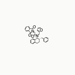 O=C1c2ccccc2C(=O)N1CC(=O)N(Cc1ccco1)[C@@H]1c2ccccc2CC[C@H]1Cc1ccccc1